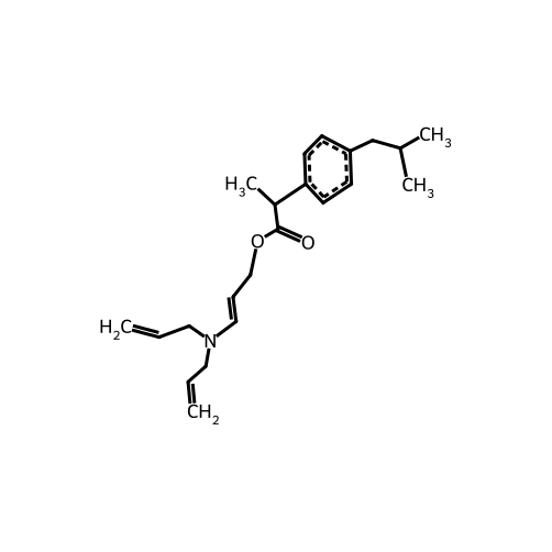 C=CCN(C=CCOC(=O)C(C)c1ccc(CC(C)C)cc1)CC=C